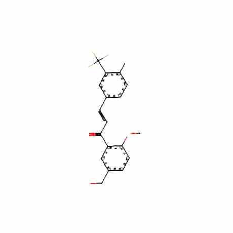 COc1ccc(CO)cc1C(=O)/C=C/c1ccc(C)c(C(F)(F)F)c1